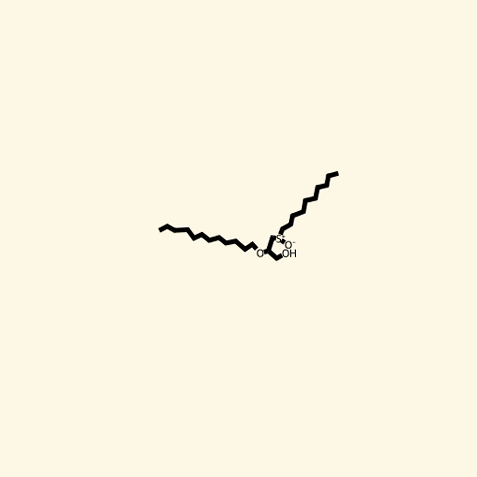 CCCCCCCCCCCCOC(CO)C[S+]([O-])CCCCCCCCCC